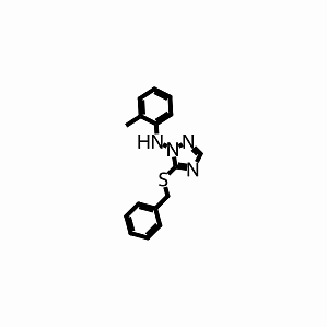 Cc1ccccc1Nn1ncnc1SCc1ccccc1